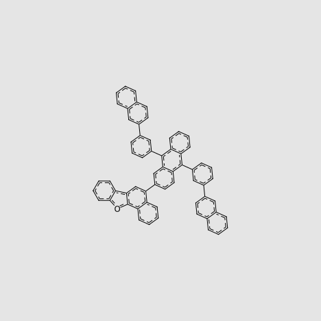 c1cc(-c2ccc3ccccc3c2)cc(-c2c3ccccc3c(-c3cccc(-c4ccc5ccccc5c4)c3)c3cc(-c4cc5c6ccccc6oc5c5ccccc45)ccc23)c1